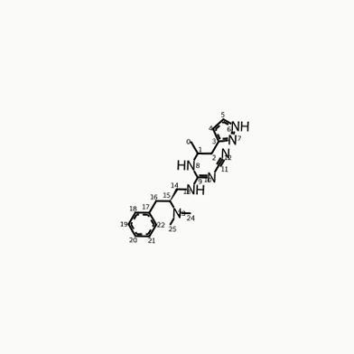 CC(Cc1cc[nH]n1)N/C(=N\C#N)NC[C@H](Cc1ccccc1)N(C)C